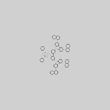 c1ccc(-c2nc(-c3ccccc3)nc(-n3c4ccc(-n5c6ccc(-c7cccc8ccccc78)cc6c6cc(-c7cccc8ccccc78)ccc65)cc4c4cc(-n5c6ccc(-c7cccc8ccccc78)cc6c6cc(-c7cccc8ccccc78)ccc65)ccc43)n2)cc1